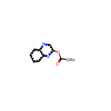 COC(=O)Oc1cnc2ccccc2n1